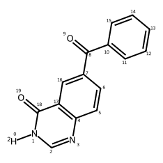 [2H]n1cnc2ccc(C(=O)c3ccccc3)cc2c1=O